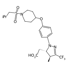 CC(C)CS(=O)(=O)N1CCC(Oc2ccc(N3N=C(C(F)(F)F)[C@@H](C)[C@@H]3CC(=O)O)cc2)CC1